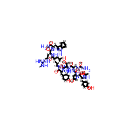 CNC(=N)NCCC[C@H](NC(=O)[C@@H](CCCNC(=O)[C@H](CC1CCCCC1)NC(=O)[C@@H](NC(=O)[C@H](CNC(N)=O)NC(=O)[C@@H]1C[C@@H](O)CN1C(=O)[C@@H](Cc1ccc(O)cc1)NC(C)=O)[C@@H](C)O)CC(C)C)C(=O)N[C@@H](Cc1c[nH]c2ccccc12)C(N)=O